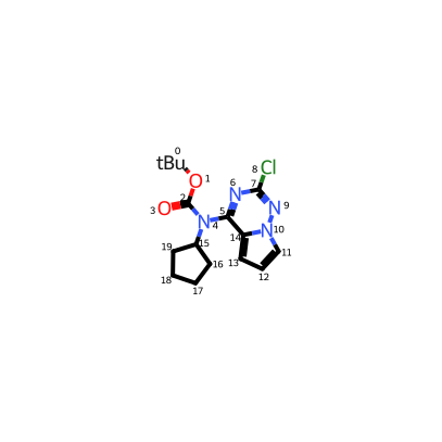 CC(C)(C)OC(=O)N(c1nc(Cl)nn2cccc12)C1CCCC1